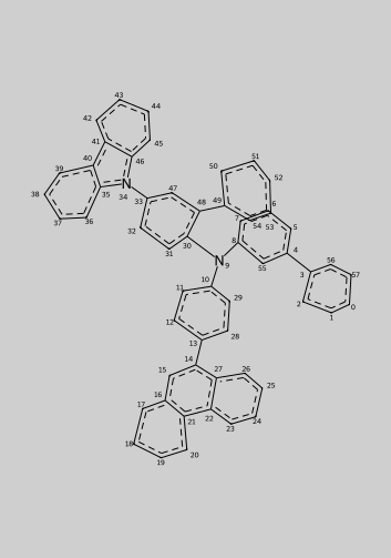 c1ccc(-c2cccc(N(c3ccc(-c4cc5ccccc5c5ccccc45)cc3)c3ccc(-n4c5ccccc5c5ccccc54)cc3-c3ccccc3)c2)cc1